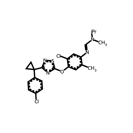 Cc1cc(Oc2nc(C3(c4ccc(Cl)cc4)CC3)ns2)c(Cl)cc1N=CN(C)C(C)C